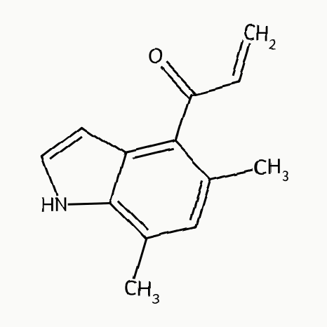 C=CC(=O)c1c(C)cc(C)c2[nH]ccc12